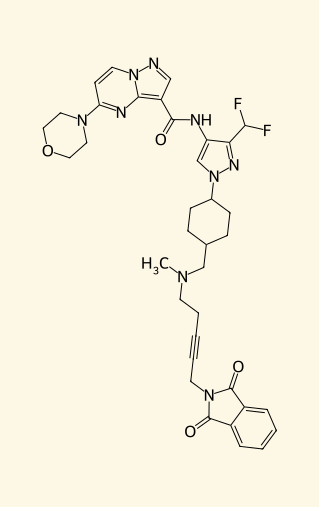 CN(CCC#CCN1C(=O)c2ccccc2C1=O)CC1CCC(n2cc(NC(=O)c3cnn4ccc(N5CCOCC5)nc34)c(C(F)F)n2)CC1